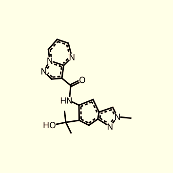 Cn1cc2cc(NC(=O)c3cnn4cccnc34)c(C(C)(C)O)cc2n1